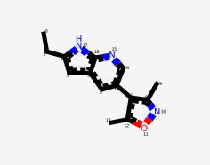 CCc1cc2cc(-c3c(C)noc3C)cnc2[nH]1